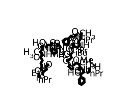 CCCC(C=P)C[C@@H](NC(=O)[C@H](C)[C@@H](OC)[C@@H]1CCCN1C(=O)C[C@@H](OC)[C@H]([C@@H](C)CC)N(C)C(=O)[C@@H](NC(=O)[C@H](C(C)C)N(C)C(=O)OCc1ccc(NC(=O)[C@@H]2CCCN2C(=O)[C@H](CO)NC(=O)[C@H](C)NC(=O)CCN2C(=O)CC(SC(I)(CC)CCC)C2=O)cc1)C(C)C)[C@@H](O)c1ccccc1